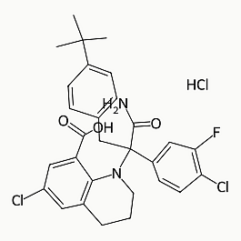 CC(C)(C)c1ccc(CC(C(N)=O)(c2ccc(Cl)c(F)c2)N2CCCc3cc(Cl)cc(C(=O)O)c32)cc1.Cl